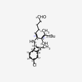 C/C(=C(O)\C(=C/CCCC=O)Nn1c2ccc(Cl)cc2n1C)C(C)(C)C